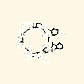 CC(C)[C@@H]1NC(=O)CNC(=O)[C@H](CO)NC(=O)[C@H](CO)NC(=O)[C@@H]2CCCN2C(=O)[C@H](Cc2ccc(O)cc2)NC(=O)[C@H](Cc2c[nH]c3ccccc23)NC(=O)[C@H]([C@@H](C)O)NC1=O